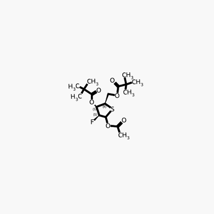 CC(=O)OC1S[C@H](COC(=O)C(C)(C)C)[C@@H](OC(=O)C(C)(C)C)[C@@H]1F